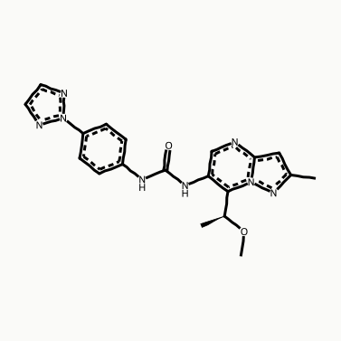 CO[C@@H](C)c1c(NC(=O)Nc2ccc(-n3nccn3)cc2)cnc2cc(C)nn12